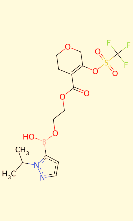 CC(C)n1nccc1B(O)OCCOC(=O)C1=C(OS(=O)(=O)C(F)(F)F)COCC1